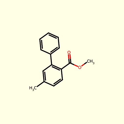 COC(=O)c1ccc(C)cc1-c1ccccc1